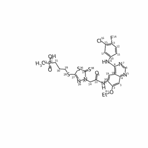 CCOc1cc2ncnc(Nc3ccc(F)c(Cl)c3)c2cc1NC(=O)Cn1nc(SCCCP(C)(=O)O)sc1=S